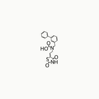 O=C1NC(=O)C(=CCN(Cc2cccc(-c3ccccc3)c2)C(=O)O)S1